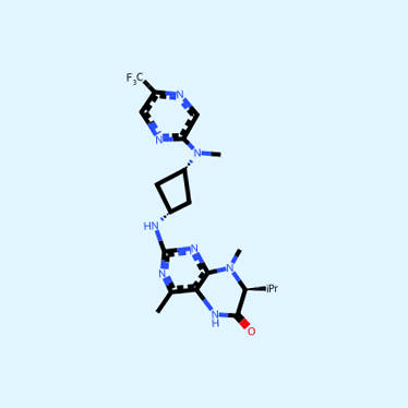 Cc1nc(N[C@H]2C[C@@H](N(C)c3cnc(C(F)(F)F)cn3)C2)nc2c1NC(=O)[C@H](C(C)C)N2C